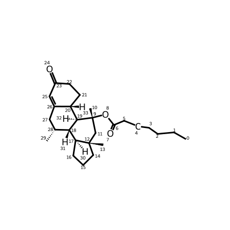 CCCCCCC(=O)O[C@]1(C)C[C@]2(C)CCC[C@H]2[C@H]2[C@H]1[C@H]1CCC(=O)C=C1C[C@H]2C